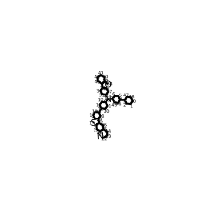 c1ccc(-c2ccc(N(c3ccc(-c4ccc5sc6cc7ncccc7cc6c5c4)cc3)c3ccc4c(c3)oc3ccccc34)cc2)cc1